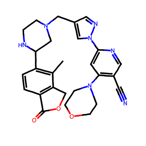 Cc1c(C2CN(Cc3cnn(-c4cc(N5CCOCC5)c(C#N)cn4)c3)CCN2)ccc2c1COC2=O